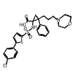 O=C(O)C1(NS(=O)(=O)c2ccc(-c3ccc(Cl)cc3)s2)CC1(CCCN1CCOCC1)c1ccccc1